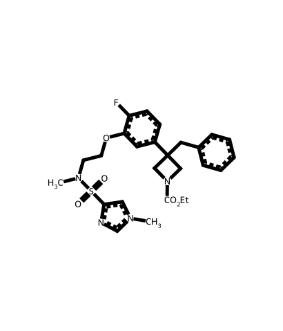 CCOC(=O)N1CC(Cc2ccccc2)(c2ccc(F)c(OCCN(C)S(=O)(=O)c3cn(C)cn3)c2)C1